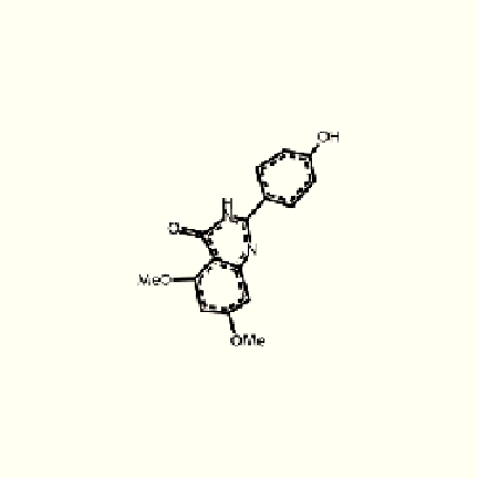 COc1cc(OC)c2c(=O)[nH]c(-c3ccc(O)cc3)nc2c1